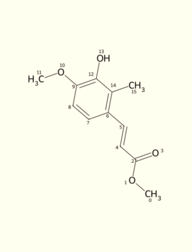 COC(=O)/C=C/c1ccc(OC)c(O)c1C